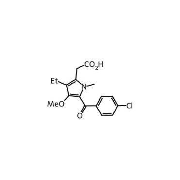 CCc1c(OC)c(C(=O)c2ccc(Cl)cc2)n(C)c1CC(=O)O